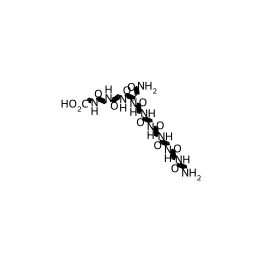 NCC(=O)NCC(=O)NCC(=O)NCC(=O)NCC(=O)NCC(=O)N[C@@H](CC(N)=O)C(=O)NCC(=O)NCC(=O)NCC(=O)O